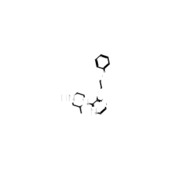 CC1CNCCN1c1nccnc1OCCOc1ccccc1